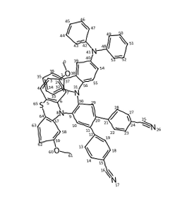 COc1ccc2c(c1)N(c1cc(-c3ccc(C#N)cc3)c(-c3ccc(C#N)cc3)cc1-n1c3ccccc3c3cc(N(c4ccccc4)c4ccccc4)ccc31)c1cc(OC)ccc1S2